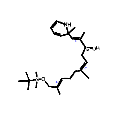 C/C(=C/C[C@H](O)/C(C)=C/C1(C)C=CC=CN1)CC/C=C(\C)CO[Si](C)(C)C(C)(C)C